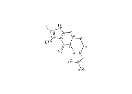 CCc1c(C)[nH]c2c1C(=O)C1CN(CC(O)C(C)C)CCC1C2